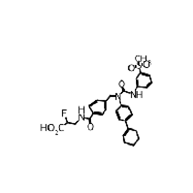 CS(=O)(=O)c1cccc(NC(=O)N(Cc2ccc(C(=O)NCC(F)C(=O)O)cc2)c2ccc(C3=CCCCC3)cc2)c1